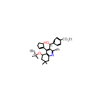 CCOC(=O)c1ccc([C@H](O)c2c(C(C)C)nc3c(c2C2=CCCC2)C(O[Si](C)(C)C(C)(C)C)CC(C)(C)C3)cc1